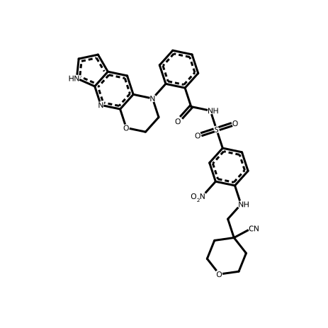 N#CC1(CNc2ccc(S(=O)(=O)NC(=O)c3ccccc3N3CCOc4nc5[nH]ccc5cc43)cc2[N+](=O)[O-])CCOCC1